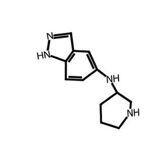 c1cc2[nH]ncc2cc1NC1CCCNC1